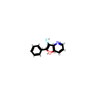 Fc1c(-c2ccccc2)oc2[c]ccnc12